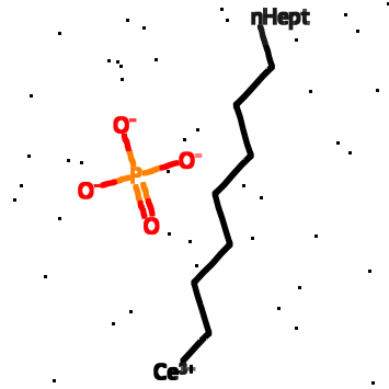 CCCCCCCCCCCCC[CH2][Ce+3].O=P([O-])([O-])[O-]